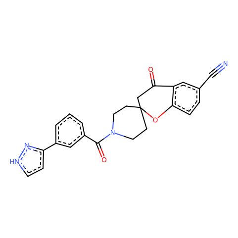 N#Cc1ccc2c(c1)C(=O)CC1(CCN(C(=O)c3cccc(-c4cc[nH]n4)c3)CC1)O2